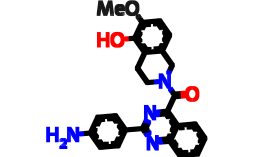 COc1ccc2c(c1O)CCN(C(=O)c1nc(-c3ccc(N)cc3)nc3ccccc13)C2